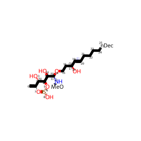 C=C[C@H](O)C(OS(=O)O)C(O)[C@@H](NOC)OCC[C@H](O)/C=C/CCCCCCCCCCCCCC